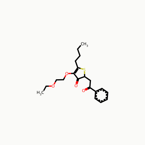 CCCCC1=C(OCCOCC)C(=O)C(CC(=O)c2ccccc2)S1